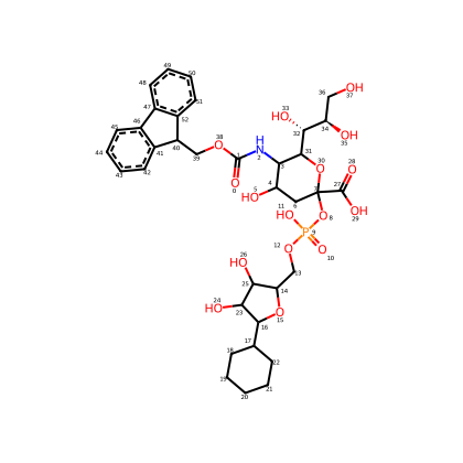 O=C(NC1C(O)CC(OP(=O)(O)OCC2OC(C3CCCCC3)C(O)C2O)(C(=O)O)OC1[C@H](O)[C@H](O)CO)OCC1c2ccccc2-c2ccccc21